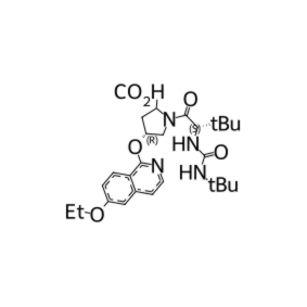 CCOc1ccc2c(O[C@@H]3CC(C(=O)O)N(C(=O)[C@@H](NC(=O)NC(C)(C)C)C(C)(C)C)C3)nccc2c1